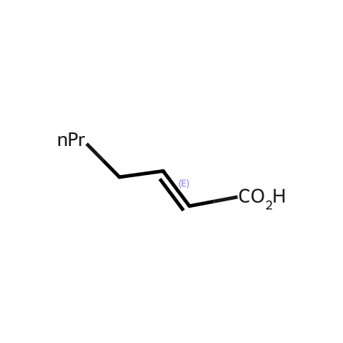 CCCC/C=C/C(=O)O